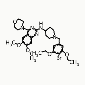 CCOc1cc(CN2CCC(Nc3nc(N4CCOCC4)c4cc(OC)c(OC)cc4n3)CC2)cc(OCC)c1Br